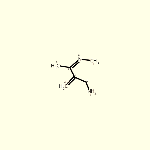 C=C(CN)/C(C)=N\C